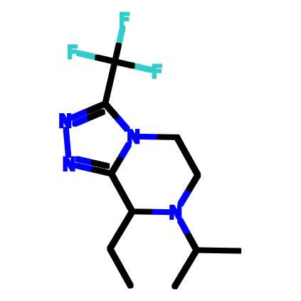 CCC1c2nnc(C(F)(F)F)n2CCN1C(C)C